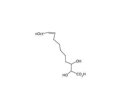 CCCCCCCC/C=C\CCCCCC(O)C(O)C(=O)O